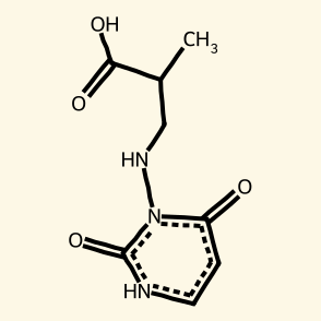 CC(CNn1c(=O)cc[nH]c1=O)C(=O)O